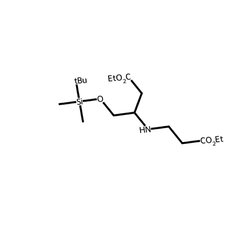 CCOC(=O)CCNC(CO[Si](C)(C)C(C)(C)C)CC(=O)OCC